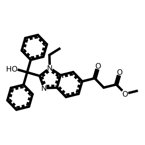 CCn1c(C(O)(c2ccccc2)c2ccccc2)nc2ccc(C(=O)CC(=O)OC)cc21